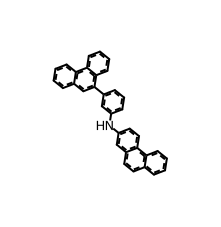 c1cc(Nc2ccc3c(ccc4ccccc43)c2)cc(-c2cc3ccccc3c3ccccc23)c1